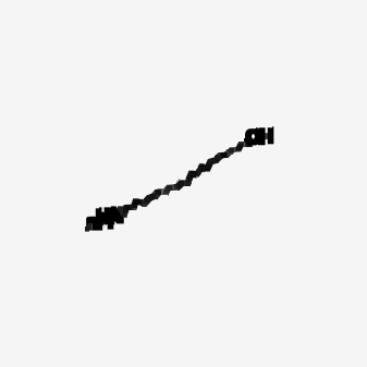 CCCNCCCCCCCCCCCCCCCCCCCCCCCCCO